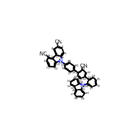 N#Cc1ccc2c(c1)c1c(C#N)cccc1n2-c1ccc(-c2ccc(-c3ccccc3-n3c4ccccc4c4ccccc43)cc2C#N)cc1